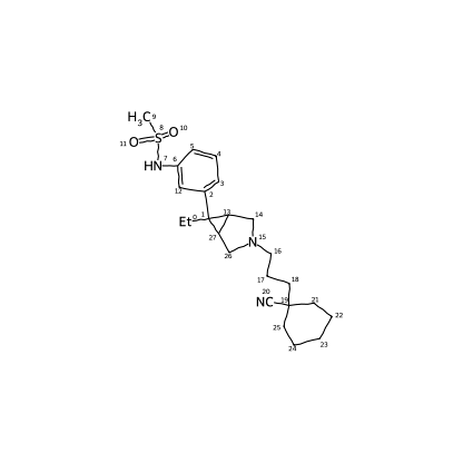 CCC1(c2cccc(NS(C)(=O)=O)c2)C2CN(CCCC3(C#N)CCCCC3)CC21